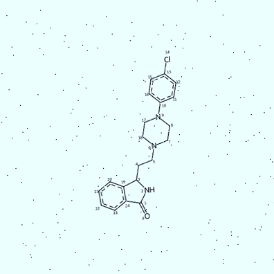 O=C1NC(CCN2CCN(c3ccc(Cl)cc3)CC2)c2ccccc21